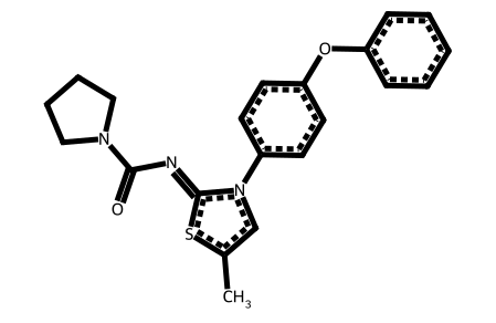 Cc1cn(-c2ccc(Oc3ccccc3)cc2)c(=NC(=O)N2CCCC2)s1